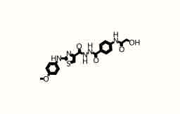 COc1ccc(Nc2nc(C(=O)NNC(=O)c3ccc(NC(=O)CO)cc3)cs2)cc1